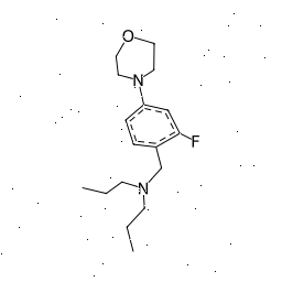 CCCN(CCC)Cc1ccc(N2CCOCC2)cc1F